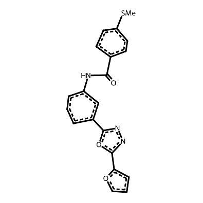 CSc1ccc(C(=O)Nc2cccc(-c3nnc(-c4ccco4)o3)c2)cc1